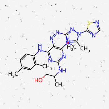 CNc1nc(NC(C)CO)nc(Nc2ccc(C)cc2C)c1/N=N\c1nc(C)n(-c2ncns2)n1